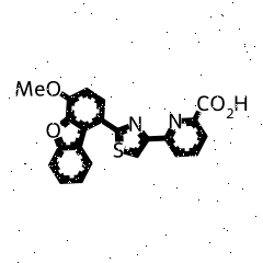 COc1ccc(-c2nc(-c3cccc(C(=O)O)n3)cs2)c2c1oc1ccccc12